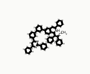 C=C=C(/C(=C1\NC(c2ccccc2)=Cc2cc(-c3cccc(-c4cccc(-c5cc(-c6ccccc6)nc(-c6ccccc6)n5)c4)c3)ccc21)c1ccccc1)c1ccccc1